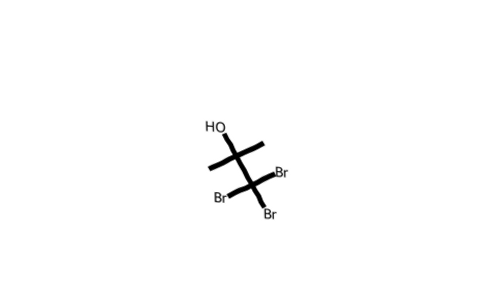 CC(C)(O)C(Br)(Br)Br